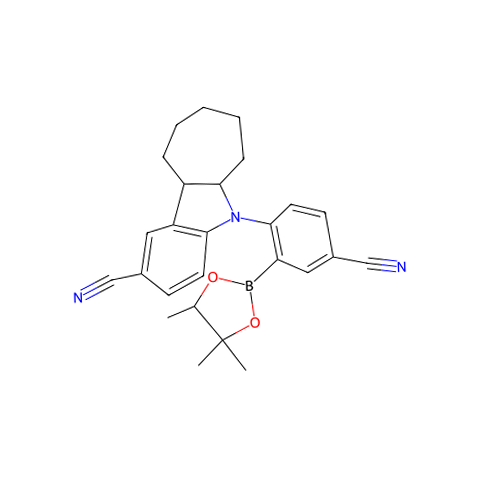 CC1OB(c2cc(C#N)ccc2N2c3ccc(C#N)cc3C3CCCCCC32)OC1(C)C